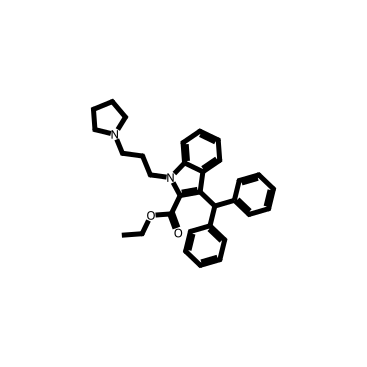 CCOC(=O)c1c(C(c2ccccc2)c2ccccc2)c2ccccc2n1CCCN1CCCC1